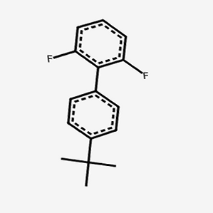 CC(C)(C)c1ccc(-c2c(F)cccc2F)cc1